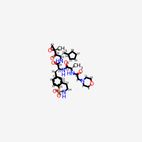 C[C@H](NC(=O)CN1CCOCC1)C(=O)N[C@@H](Cc1ccc2c(c1)CCNS2(=O)=O)C(=O)N[C@@H](CC1CCCC1)C(=O)[C@@]1(C)CO1